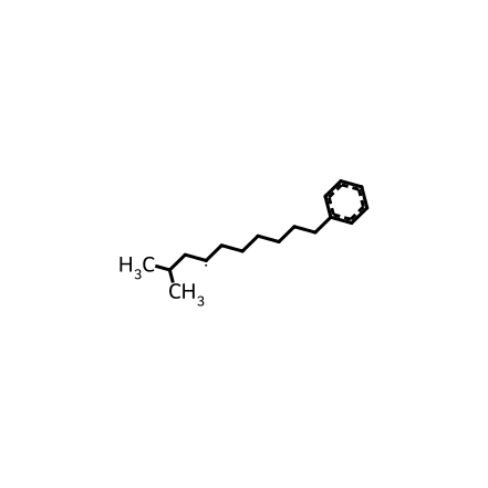 CC(C)C[CH]CCCCCCc1ccccc1